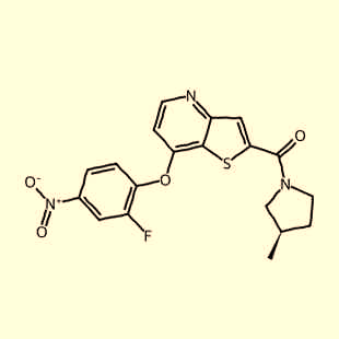 C[C@@H]1CCN(C(=O)c2cc3nccc(Oc4ccc([N+](=O)[O-])cc4F)c3s2)C1